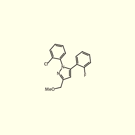 COCc1cc(-c2ccccc2F)n(-c2ccccc2Cl)n1